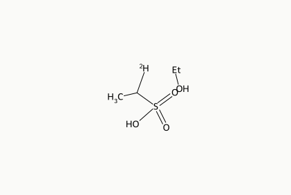 CCO.[2H]C(C)S(=O)(=O)O